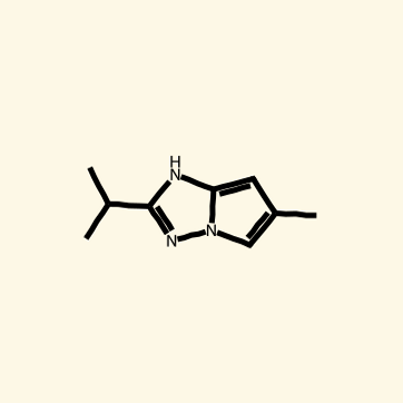 Cc1cc2[nH]c(C(C)C)nn2c1